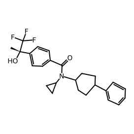 C[C@](O)(c1ccc(C(=O)N(C2CCC(c3ccccc3)CC2)C2CC2)cc1)C(F)(F)F